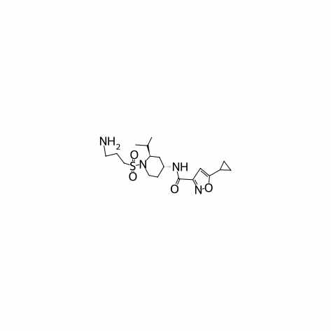 CC(C)[C@H]1C[C@H](NC(=O)c2cc(C3CC3)on2)CCN1S(=O)(=O)CCCN